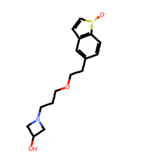 [O-][s+]1ccc2cc(CCOCCCN3CC(O)C3)ccc21